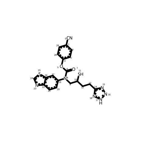 N#Cc1ccc(OC(=O)N(CC(S)CCc2nn[nH]n2)c2ccc3ncsc3c2)cc1